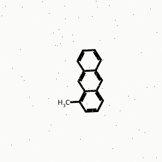 Cc1cccc2cc3[c]cccc3cc12